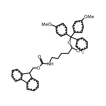 [CH2]C(CCCCNC(=O)OCC1c2ccccc2-c2ccccc21)OC(c1ccccc1)(c1ccc(OC)cc1)c1ccc(OC)cc1